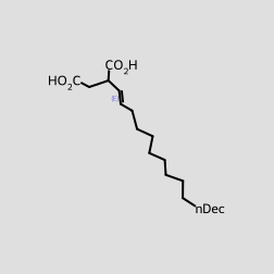 CCCCCCCCCCCCCCCCCC/C=C/C(CC(=O)O)C(=O)O